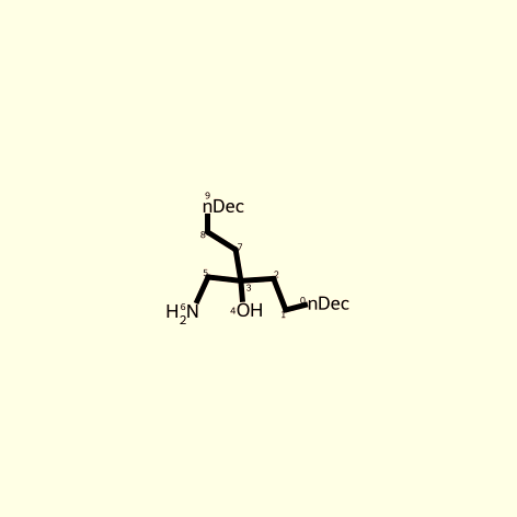 CCCCCCCCCCCCC(O)(CN)CCCCCCCCCCCC